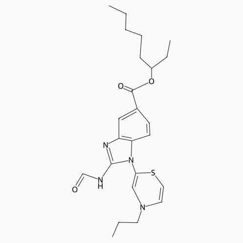 CCCCCC(CC)OC(=O)c1ccc2c(c1)nc(NC=O)n2C1=CN(CCC)C=CS1